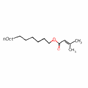 CCCCCCCCCCCCCCOC(=O)C=C(C)C